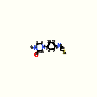 CN1CCN(c2ccc(N=C=S)cc2)CC1=O